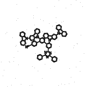 N#Cc1ccc(-c2cc(-c3cc(-c4nc(-c5ccccc5)nc(-c5ccccc5)n4)ccc3-n3c4ccccc4c4cc(-n5c6ccccc6c6ccccc65)ccc43)ccc2-n2c3ccccc3c3cc(-n4c5ccccc5c5ccccc54)ccc32)cc1